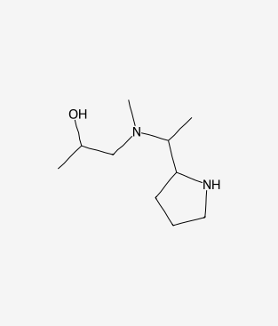 CC(O)CN(C)C(C)C1CCCN1